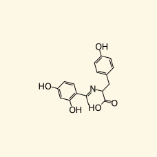 C/C(=N\C(Cc1ccc(O)cc1)C(=O)O)c1ccc(O)cc1O